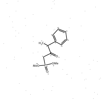 COP(=O)(CC(=O)C(C)c1ccccc1)OC